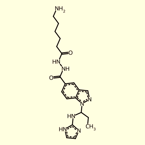 CCC(Nc1ncc[nH]1)n1ncc2cc(C(=O)NNC(=O)CCCCCN)ccc21